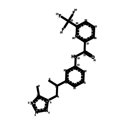 Cc1nnnn1CC(C)c1cccc(NC(=O)c2cccc(C(F)(F)F)n2)c1